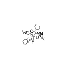 CC(C)(C)OC(=O)NC(CC1CCCCC1)CN(C(=O)O)[C@@H](Cc1ccccc1)C(F)(F)F